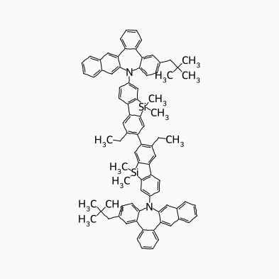 CCc1cc2c(cc1-c1cc3c(cc1CC)-c1ccc(N4c5ccc(CC(C)(C)C)cc5-c5ccccc5-c5cc6ccccc6cc54)cc1[Si]3(C)C)[Si](C)(C)c1cc(N3c4ccc(CC(C)(C)C)cc4-c4ccccc4-c4cc5ccccc5cc43)ccc1-2